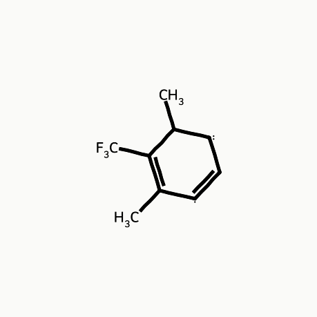 CC1=C(C(F)(F)F)C(C)[C]C=[C]1